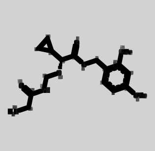 COc1ccc(COC(=O)[C@H](OCNC(=O)CN)C2CC2)c(OC)c1